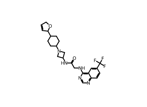 O=C(CNc1ncnc2ccc(C(F)(F)F)cc12)NC1CN(C2CCC(C3C=CCO3)CC2)C1